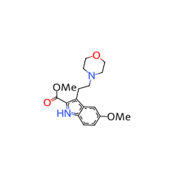 COC(=O)c1[nH]c2ccc(OC)cc2c1CCN1CCOCC1